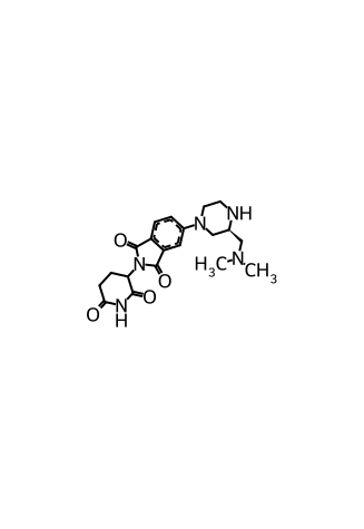 CN(C)C[C@H]1CN(c2ccc3c(c2)C(=O)N(C2CCC(=O)NC2=O)C3=O)CCN1